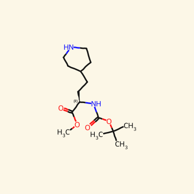 COC(=O)[C@@H](CCC1CCNCC1)NC(=O)OC(C)(C)C